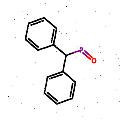 O=PC(c1ccccc1)c1ccccc1